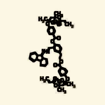 C=CC(=O)OC(C)(C)CC(C)(C)Oc1ccc(C(=O)OCCc2ccc(OC(=O)c3ccc(OC(C)(C)CC(C)(C)OC(=O)C=C)cc3)c(/C=N/N=C3C4C=CC=CC4C4C=CC=CC34)c2)cc1